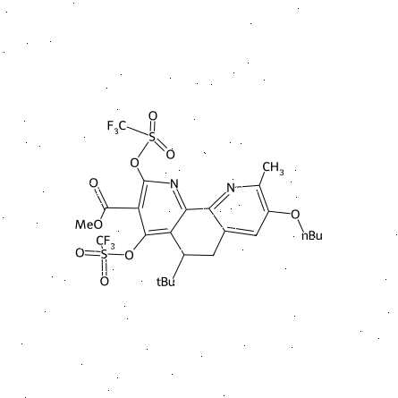 CCCCOc1cc2c(nc1C)-c1nc(OS(=O)(=O)C(F)(F)F)c(C(=O)OC)c(OS(=O)(=O)C(F)(F)F)c1C(C(C)(C)C)C2